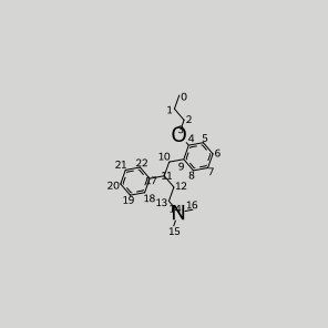 CCCOc1ccccc1CC(CCN(C)C)c1ccccc1